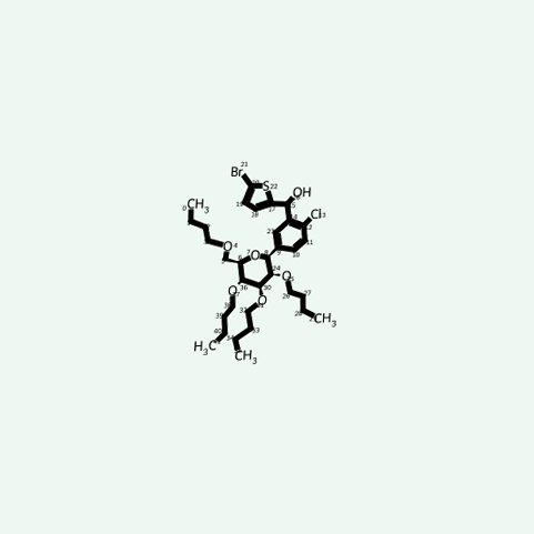 CCCCOC[C@H]1O[C@@H](c2ccc(Cl)c(C(O)c3ccc(Br)s3)c2)[C@H](OCCCC)[C@@H](OCCCC)[C@@H]1OCCCC